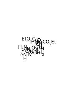 CCOC(=O)CNP(=O)(NCC(=O)OCC)OC[C@H]1O[C@@H](n2cnc3c(NC4CC4)nc(N)nc32)[C@@](C)(O)C1O